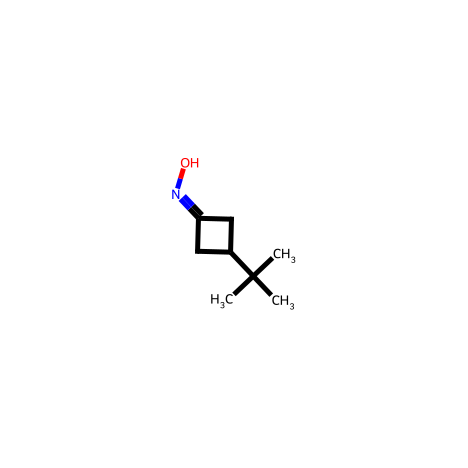 CC(C)(C)C1CC(=NO)C1